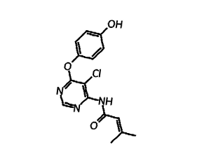 CC(C)=CC(=O)Nc1ncnc(Oc2ccc(O)cc2)c1Cl